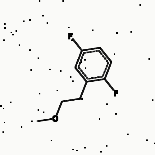 COC[CH]c1cc(F)ccc1F